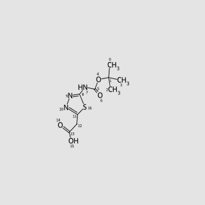 CC(C)(C)OC(=O)Nc1nnc(CC(=O)O)s1